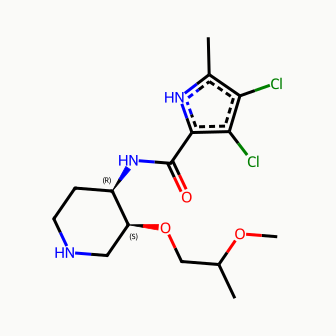 COC(C)CO[C@H]1CNCC[C@H]1NC(=O)c1[nH]c(C)c(Cl)c1Cl